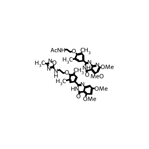 COc1cc(OC)c2c(=O)[nH]c(-c3cc(C)c(OCCNC(C)=O)c(C)c3)nc2n1.COc1cc(OC)c2c(=O)[nH]c(-c3cc(C)c(OCCNc4nc(C)no4)c(C)c3)nc2c1